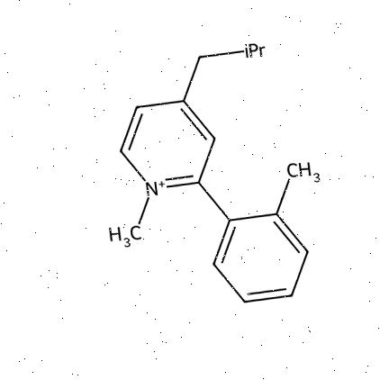 Cc1ccccc1-c1cc(CC(C)C)cc[n+]1C